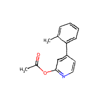 CC(=O)Oc1cc(-c2ccccc2C)ccn1